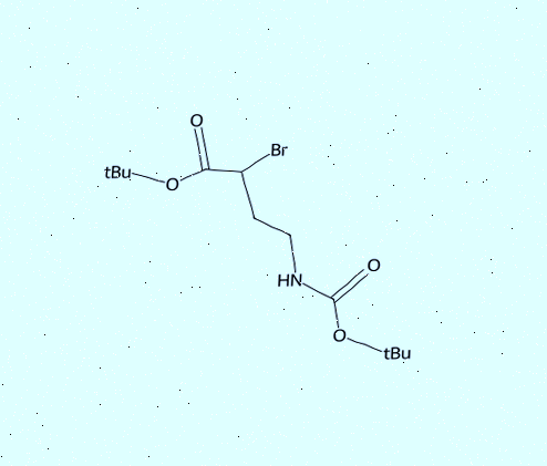 CC(C)(C)OC(=O)NCCC(Br)C(=O)OC(C)(C)C